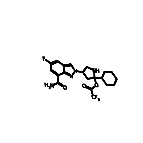 NC(=O)c1cc(F)cc2cn(C3CNC(OC(=O)C(F)(F)F)(C4CCCCC4)C3)nc12